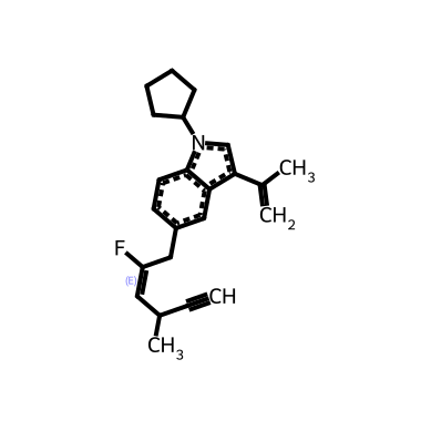 C#CC(C)/C=C(/F)Cc1ccc2c(c1)c(C(=C)C)cn2C1CCCC1